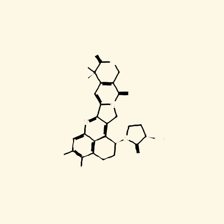 Cc1c(F)cc2nc3c(c4c2c1CC[C@@H]4N1CC[C@@H](O)C1=O)Cn1c-3cc2c(c1=O)COC(=O)[C@@]2(C)O